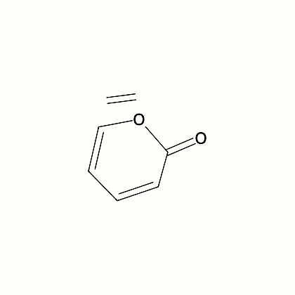 C=C.O=c1cccco1